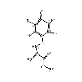 CC(C)OC(=O)[C@@H](C)NOc1c(F)c(F)c(F)c(F)c1F